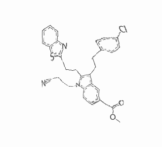 COC(=O)c1ccc2c(c1)c(CCc1ccc(Cl)cc1)c(CCc1nc3ccccc3s1)n2CCC#N